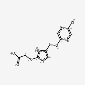 O=C(O)CSc1nnc(COc2ccc(Cl)cc2)[nH]1